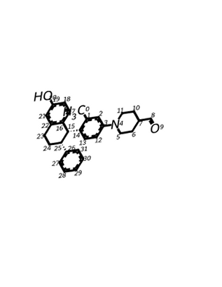 Cc1cc(N2CCC(C=O)CC2)ccc1[C@H]1c2ccc(O)cc2CC[C@H]1c1ccccc1